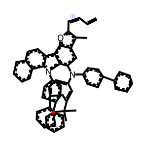 C=C/C=C\c1oc2c(cc(N(C3=CC=C4CC(=C3)C(C)(C)c3ccccc34)c3ccc(-c4ccccc4)cc3)c3c2c2ccc4ccccc4c2n3-c2ccc(-c3ccccc3)cc2)c1C